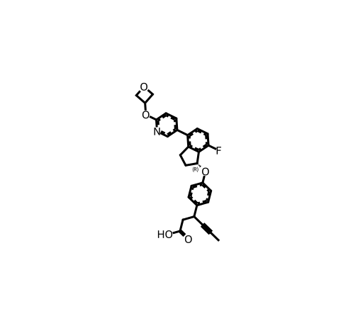 CC#CC(CC(=O)O)c1ccc(O[C@@H]2CCc3c(-c4ccc(OC5COC5)nc4)ccc(F)c32)cc1